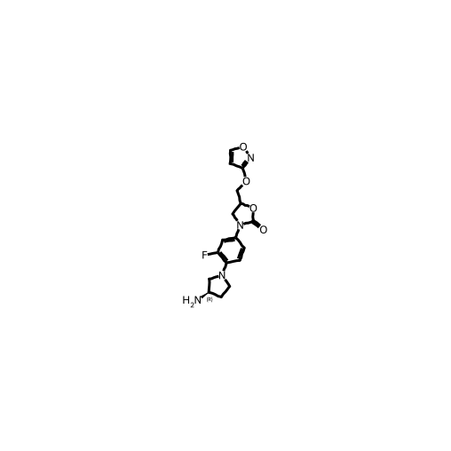 N[C@@H]1CCN(c2ccc(N3CC(COc4ccon4)OC3=O)cc2F)C1